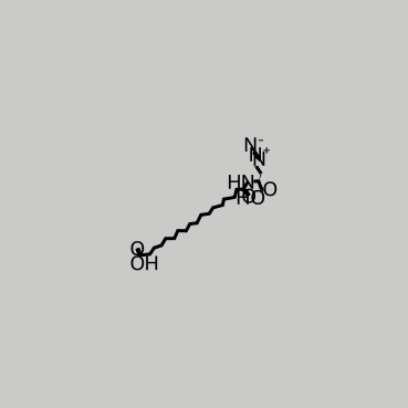 [N-]=[N+]=NCC[C@@H](NC(=O)CCCCCCCCCCCCCCCCC(=O)O)C(=O)O